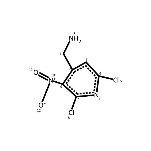 NCc1cc(Cl)nc(Cl)c1[N+](=O)[O-]